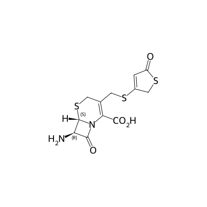 N[C@@H]1C(=O)N2C(C(=O)O)=C(CSC3=CC(=O)SC3)CS[C@@H]12